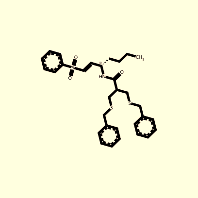 CCCC[C@@H](C=CS(=O)(=O)c1ccccc1)NC(=O)C(CSCc1ccccc1)CSCc1ccccc1